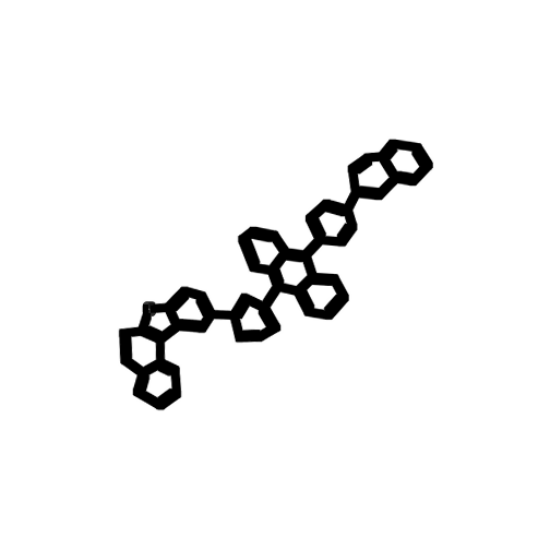 c1cc(-c2ccc3oc4ccc5ccccc5c4c3c2)cc(-c2c3ccccc3c(-c3ccc(-c4ccc5ccccc5c4)cc3)c3ccccc23)c1